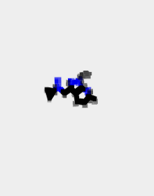 CCCn1nc(CNC2CC2)c2ccc(C)nc21